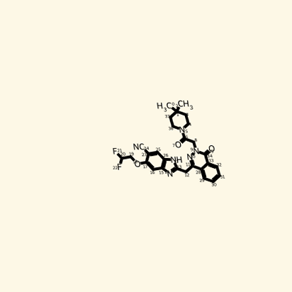 CC1(C)CCN(C(=O)Cn2nc(Cc3nc4cc(OCC(F)F)c(C#N)cc4[nH]3)c3ccccc3c2=O)CC1